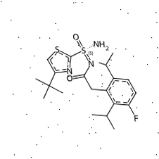 CC(C)c1ccc(F)c(C(C)C)c1CC(=O)N=[S@](N)(=O)c1nc(C(C)(C)C)cs1